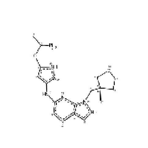 CC(P)Oc1cc(Nc2cnc3cnn(C[C@@]4(C)CCOC4)c3n2)n[nH]1